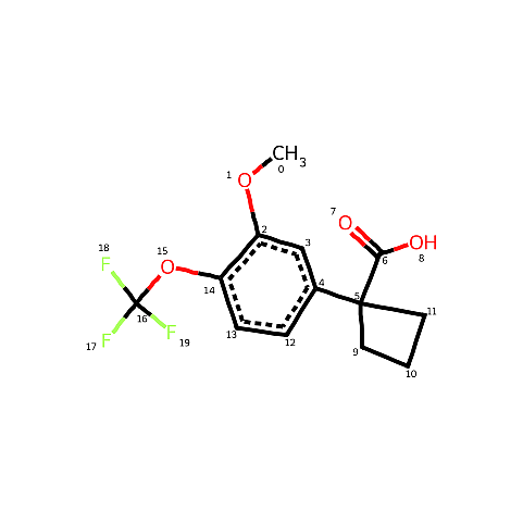 COc1cc(C2(C(=O)O)CCC2)ccc1OC(F)(F)F